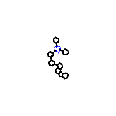 c1ccc(-c2nc(-c3ccccc3)nc(-c3cccc(-c4cccc(-c5cccc6c7c(ccc56)Cc5ccccc5-7)c4)c3)n2)cc1